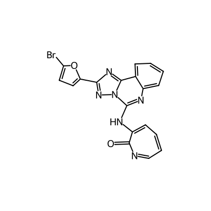 O=c1nccccc1Nc1nc2ccccc2c2nc(-c3ccc(Br)o3)nn12